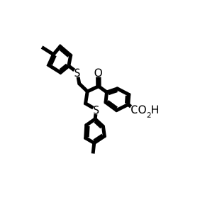 Cc1ccc(SCC(CSc2ccc(C)cc2)C(=O)c2ccc(C(=O)O)cc2)cc1